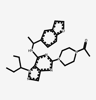 CCC(CC)n1ncc2nc(N3CCN(C(C)=O)CC3)nc(NC(C)c3ccc4occc4c3)c21